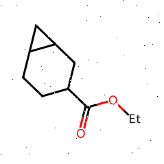 CCOC(=O)C1CCC2CC2C1